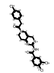 O=C(NC1=NCC2=CN(C(=O)Cc3ccc(Cl)cc3)CCC2=N1)c1ccc(Cl)c(Cl)c1